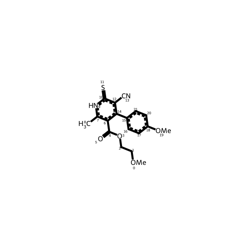 COCCOC(=O)c1c(C)[nH]c(=S)c(C#N)c1-c1ccc(OC)cc1